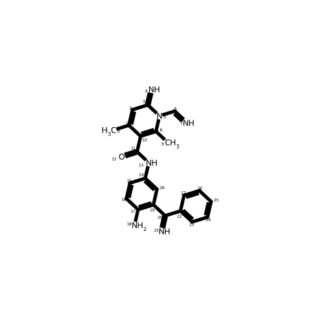 Cc1cc(=N)n(C=N)c(C)c1C(=O)Nc1ccc(N)c(C(=N)c2ccccc2)c1